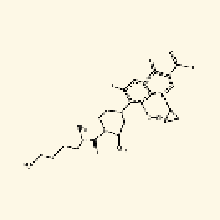 COc1c(N2CCN(C(=O)C(N)CCCCN)C(C)C2)c(F)cc2c(=O)c(C(=O)O)cn(C3CC3)c12